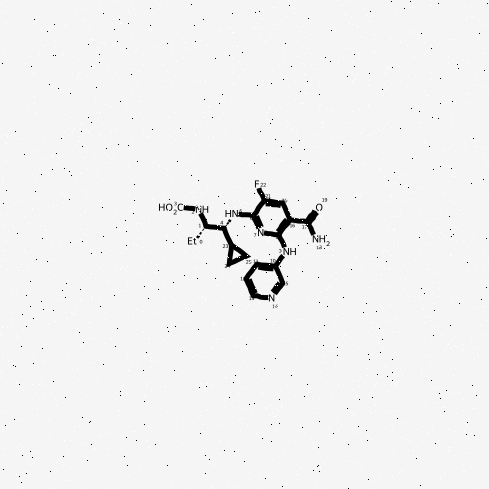 CC[C@H](NC(=O)O)[C@H](Nc1nc(Nc2cccnc2)c(C(N)=O)cc1F)C1CC1